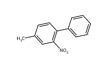 Cc1ccc(-c2c[c]ccc2)c([N+](=O)[O-])c1